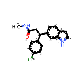 CNC(=O)CC(c1ccc(Cl)cc1)c1ccc2cc[nH]c2c1